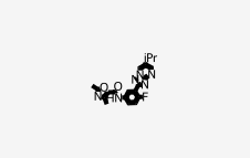 Cc1nc(C)c(C(=O)Nc2ccc(F)c(-c3nc4ncc(C(C)C)cn4n3)c2)o1